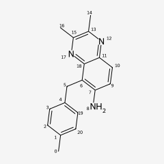 Cc1ccc(Cc2c(N)ccc3nc(C)c(C)nc23)cc1